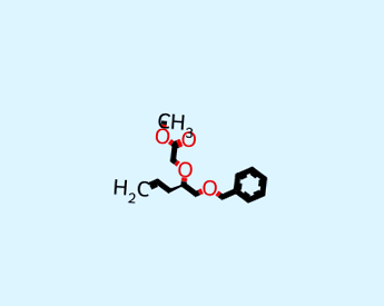 C=CC[C@H](COCc1ccccc1)OCC(=O)OC